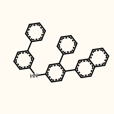 c1ccc(-c2cccc(Nc3ccc(-c4ccc5ccccc5c4)c(-c4ccccc4)c3)c2)cc1